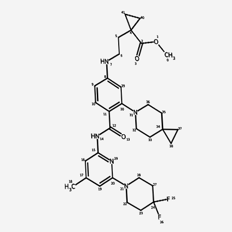 COC(=O)C1(CCNc2ccc(C(=O)Nc3cc(C)cc(N4CCC(F)(F)CC4)n3)c(N3CCC4(CC3)CC4)c2)CC1